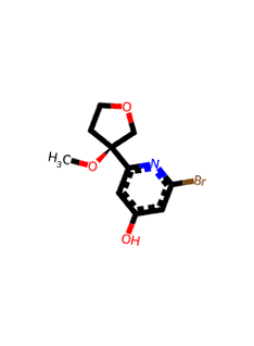 CO[C@@]1(c2cc(O)cc(Br)n2)CCOC1